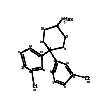 CCCCCCC1CCC(c2cccc(CC)c2)(c2cccc(CC)c2)CC1